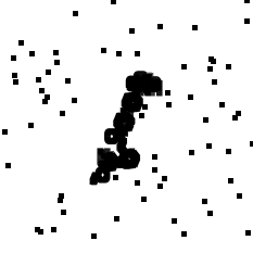 CCOc1cncc(-c2ccccc2CCC(=O)N2CCN(c3ccc(C(=O)NS(C)(=O)=O)cc3)CC2)c1